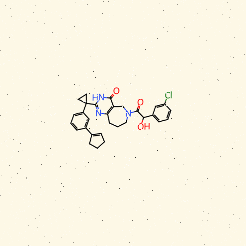 O=C(C(O)c1cccc(Cl)c1)N1CCCc2nc(C3(c4cccc(C5=CCCC5)c4)CC3)[nH]c(=O)c2C1